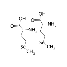 C[Se]CCC(N)C(=O)O.C[Se]CCC(N)C(=O)O